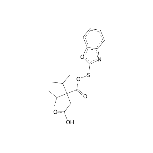 CC(C)C(CC(=O)O)(C(=O)OSc1nc2ccccc2o1)C(C)C